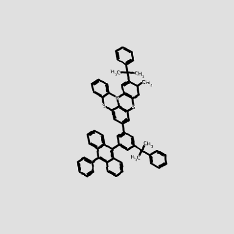 CC1CC2=C(C=C1C(C)(C)c1ccccc1)B1c3ccccc3Sc3cc(-c4cc(-c5c6ccccc6c(-c6ccccc6)c6ccccc56)cc(C(C)(C)c5ccccc5)c4)cc(c31)S2